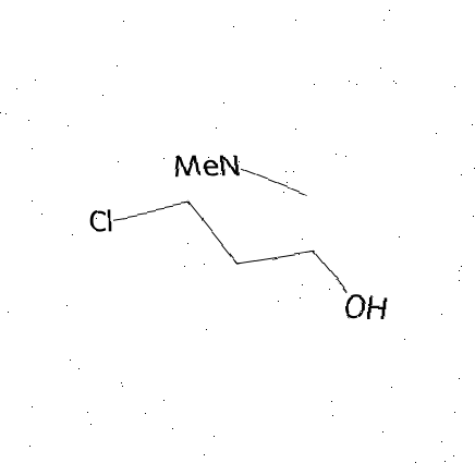 CNC.OCCCCl